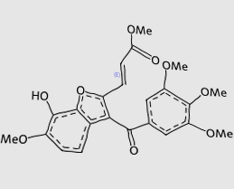 COC(=O)/C=C/c1oc2c(O)c(OC)ccc2c1C(=O)c1cc(OC)c(OC)c(OC)c1